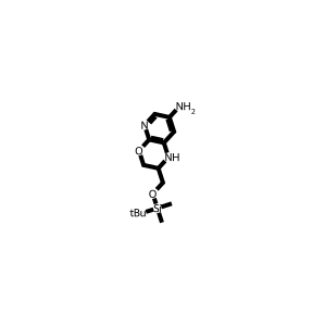 CC(C)(C)[Si](C)(C)OCC1COc2ncc(N)cc2N1